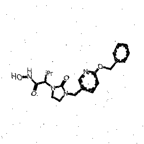 CC(C)C(C(=O)NO)N1CCN(Cc2ccc(OCc3ccccc3)nc2)C1=O